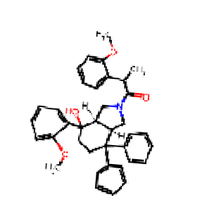 COc1ccccc1C(C)C(=O)N1C[C@@H]2[C@H](C1)C(O)(c1ccccc1OC)CCC2(c1ccccc1)c1ccccc1